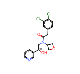 O=C(Cc1ccc(Cl)c(Cl)c1)N(C[C@@H](O)c1cccnc1)C1COC1